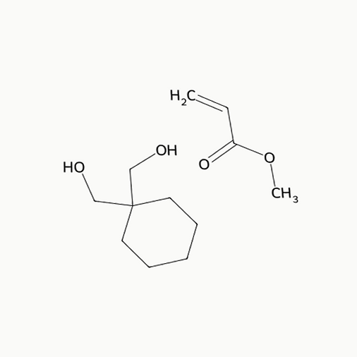 C=CC(=O)OC.OCC1(CO)CCCCC1